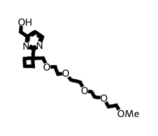 COCCOCCOCCOCCOCC1(c2nccc(CO)n2)CCC1